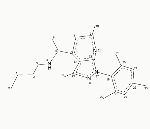 CCCCNC(C)c1cc(C)nc2c1c(C)nn2-c1c(C)cc(C)cc1C